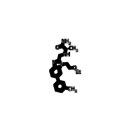 CCOCCn1c(CN[C@@H](C)C(N)=O)nc2ccc(-c3cccc(C)c3)cc21